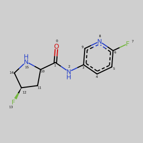 O=C(Nc1ccc(F)nc1)C1C[C@@H](F)CN1